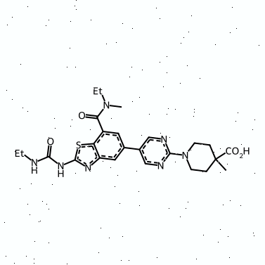 CCNC(=O)Nc1nc2cc(-c3cnc(N4CCC(C)(C(=O)O)CC4)nc3)cc(C(=O)N(C)CC)c2s1